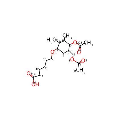 CC(=O)OCC1CC(OCCCCCC(=O)O)C(C)C(C)C1OC(C)=O